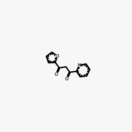 O=C(CC(=O)c1ccco1)c1ccccn1